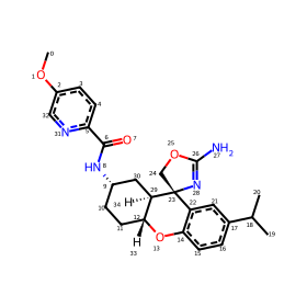 COc1ccc(C(=O)N[C@H]2CC[C@H]3Oc4ccc(C(C)C)cc4[C@]4(COC(N)=N4)[C@@H]3C2)nc1